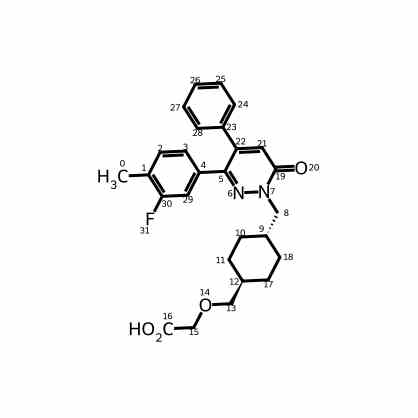 Cc1ccc(-c2nn(C[C@H]3CC[C@H](COCC(=O)O)CC3)c(=O)cc2-c2ccccc2)cc1F